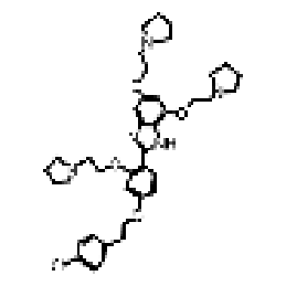 Clc1ccc(CCOc2ccc(-c3nc4cc(OCCN5CCCC5)cc(OCCN5CCCC5)c4[nH]3)c(OCCN3CCCC3)c2)cc1